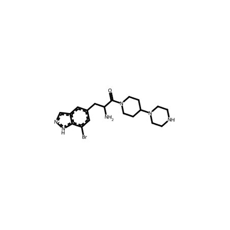 NC(Cc1cc(Br)c2[nH]ncc2c1)C(=O)N1CCC(N2CCNCC2)CC1